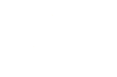 COc1cc2ncnc(Nc3ccc(OCc4ccc(F)cc4)c(Cl)c3)c2cc1OC1CCN(C(=O)OC(C)(C)C)C(C)C1